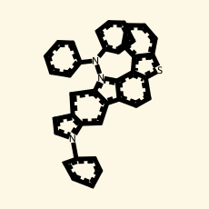 c1ccc(N(c2ccccc2)n2c3cc4ccn(-c5ccccc5)c4cc3c3ccc4sc5ccccc5c4c32)cc1